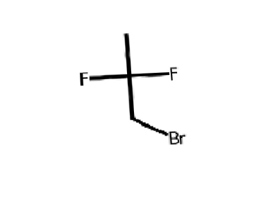 CC(F)(F)CBr